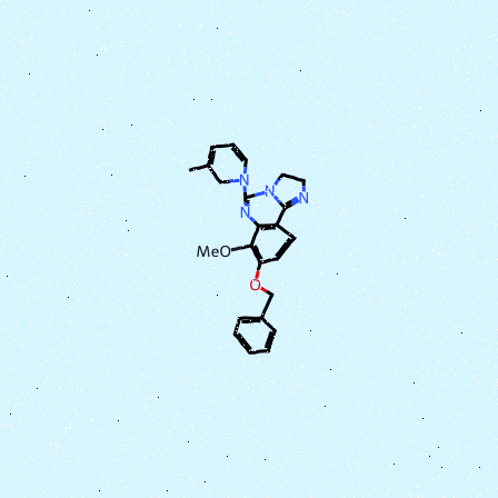 COc1c(OCc2ccccc2)ccc2c1N=C(N1C=CC=C(C)C1)N1CCN=C21